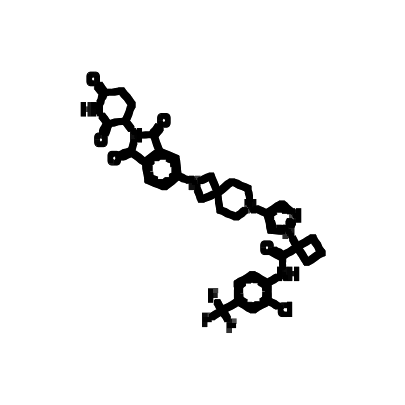 O=C1CCC(N2C(=O)c3ccc(N4CC5(CCN(c6cnn(C7(C(=O)Nc8ccc(C(F)(F)F)cc8Cl)CCC7)c6)CC5)C4)cc3C2=O)C(=O)N1